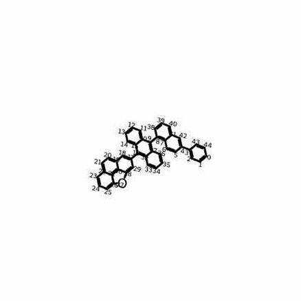 c1ccc(-c2ccc3c(-c4c5ccccc5c(-c5cc6ccc7cccc8oc(c5)c6c78)c5ccccc45)cccc3c2)cc1